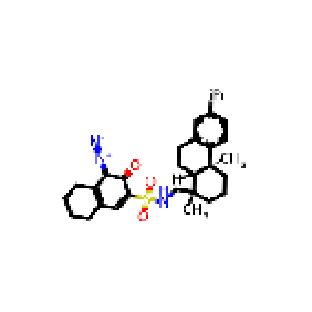 CC(C)c1ccc2c(c1)CC[C@H]1[C@@](C)(CNS(=O)(=O)C3=CC4=C(CCCC4)C(=[N+]=[N-])C3=O)CCC[C@]21C